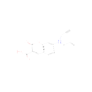 C#CCN(CC=C)c1ccc2cc(C(=O)O)c(=O)oc2c1